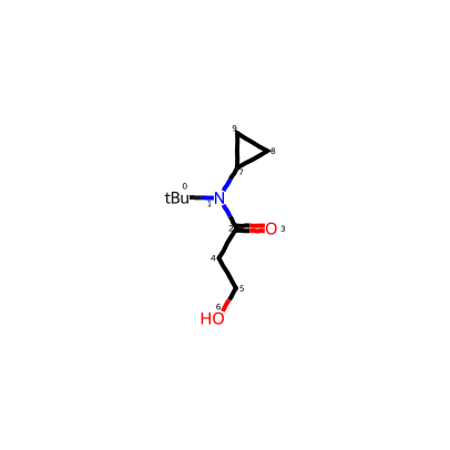 CC(C)(C)N(C(=O)CCO)C1CC1